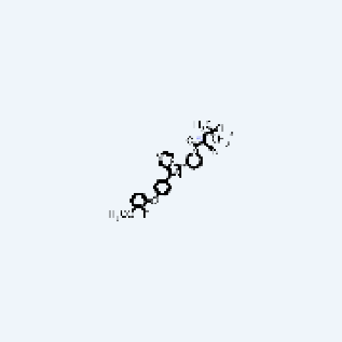 COc1cccc(Oc2ccc(-c3nc([C@H]4CCCN(C(=O)/C(C#N)=C/C(C)(C)C)C4)n4ccncc34)cc2)c1F